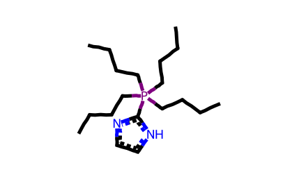 CCCCP(CCCC)(CCCC)(CCCC)c1ncc[nH]1